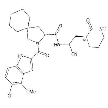 COc1c(Cl)ccc2[nH]c(C(=O)N3CC4(CCCCC4)CC3C(=O)NC(C#N)C[C@@H]3CCCNC3=O)cc12